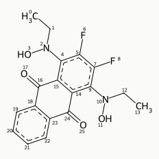 CCN(O)c1c(F)c(F)c(N(O)CC)c2c1C(=O)c1ccccc1C2=O